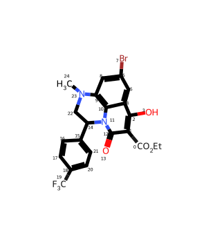 CCOC(=O)c1c(O)c2cc(Br)cc3c2n(c1=O)C(c1ccc(C(F)(F)F)cc1)CN3C